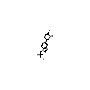 CC(C)(N)Cn1cnc2cc(C3=NNC(=O)CC3)ccc21